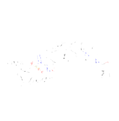 C#CC(=O)N1CCN(c2cccc(-c3cc4onc(NS(=O)(=O)c5c(OC)cccc5OC)c4cc3C)c2)CC1